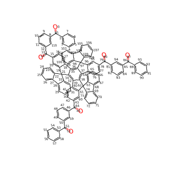 O=C(c1ccccc1)c1cccc(C(=O)c2ccc3c(c2)C2(c4ccccc4-c4ccccc42)c2c-3c3c(c4c2-c2ccc(C(=O)c5cccc(C(=O)c6ccccc6)c5)cc2C42c4ccccc4-c4ccccc42)-c2ccc(C(=O)c4cccc(C(=O)c5ccccc5)c4)cc2C32c3ccccc3-c3ccccc32)c1